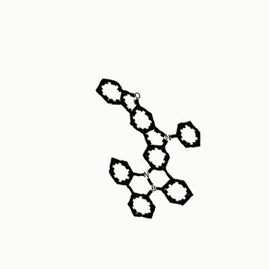 c1ccc(-n2c3cc4c(cc3c3cc5c(cc32)oc2ccccc25)N2B(c3ccccc3-c3ccccc32)c2ccccc2-4)cc1